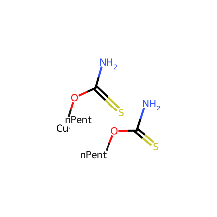 CCCCCOC(N)=S.CCCCCOC(N)=S.[Cu]